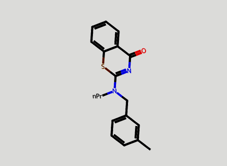 CCCN(Cc1cccc(C)c1)c1nc(=O)c2ccccc2s1